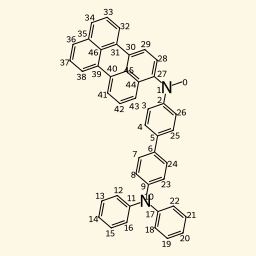 CN(c1ccc(-c2ccc(N(c3ccccc3)c3ccccc3)cc2)cc1)c1ccc2c3cccc4cccc(c5cccc1c52)c43